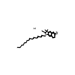 CCCCCCCCCCCCCCCCN1c2cc3ccc(Br)cc3cc2C(C)(C)C1C.I